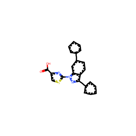 O=C(O)c1csc(-n2nc(-c3ccccc3)c3ccc(-c4ccccc4)cc32)n1